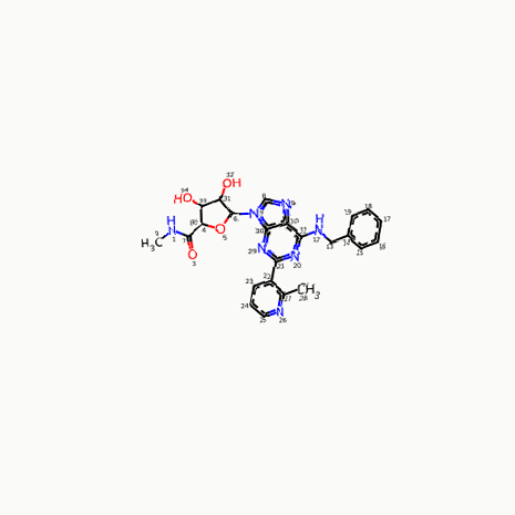 CNC(=O)[C@@H]1OC(n2cnc3c(NCc4ccccc4)nc(-c4cccnc4C)nc32)C(O)C1O